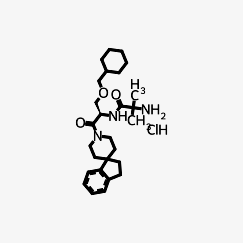 CC(C)(N)C(=O)N[C@H](COCC1CCCCC1)C(=O)N1CCC2(CCc3ccccc32)CC1.Cl